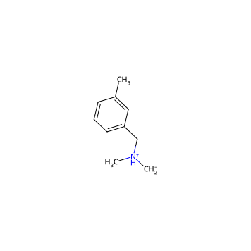 [CH2-][NH+](C)Cc1cccc(C)c1